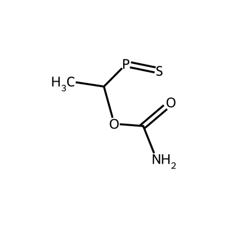 CC(OC(N)=O)P=S